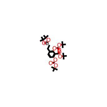 CC(C)(C)OC(=O)Oc1ccc(CCB2OC(C)(C)C(C)(C)O2)c(OC(=O)OC(C)(C)C)c1C(=O)OC(C)(C)C